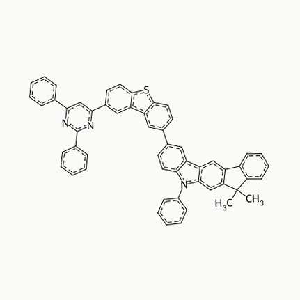 CC1(C)c2ccccc2-c2cc3c4cc(-c5ccc6sc7ccc(-c8cc(-c9ccccc9)nc(-c9ccccc9)n8)cc7c6c5)ccc4n(-c4ccccc4)c3cc21